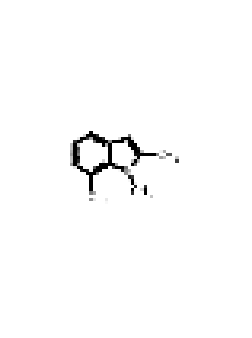 Cc1cccc2cc(C)n(C)c12